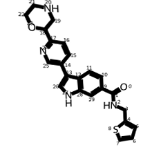 O=C(NCc1cccs1)c1ccc2c(-c3ccc(C4CNCCO4)nc3)c[nH]c2c1